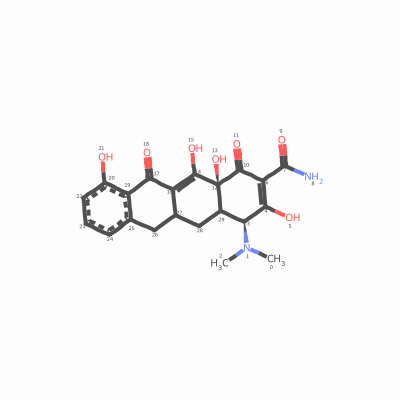 CN(C)[C@@H]1C(O)=C(C(N)=O)C(=O)[C@@]2(O)C(O)=C3C(=O)c4c(O)cccc4CC3CC12